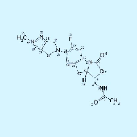 CC(=O)NC[C@@H]1OC(=O)N2c3cc(F)c(N4Cc5cn(C)nc5C4)cc3C[C@@H]12